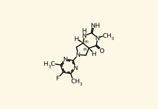 Cc1nc(N2C[C@@H]3NC(=N)N(C)C(=O)[C@@H]3C2)nc(C)c1F